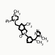 CC(C)[C@H]1CN(C)CCN1Cc1cc2c(c(C(F)(F)F)c1)CN(c1cccc([C@@H](C)c3nncn3C)c1)C2=O